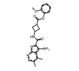 COc1ccccc1OC(=O)N1CC(NC(=O)c2sc3nnc(C)c(C)c3c2N)C1